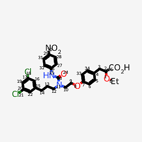 CCOC(Cc1ccc(OCCN(CCCc2cc(Cl)cc(Cl)c2)C(=O)Nc2ccc([N+](=O)[O-])cc2)cc1)C(=O)O